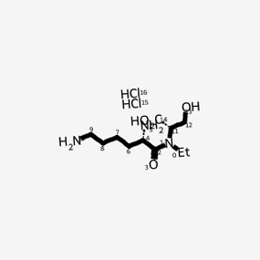 CCN(C(=O)[C@@H](N)CCCCN)[C@@H](CO)C(=O)O.Cl.Cl